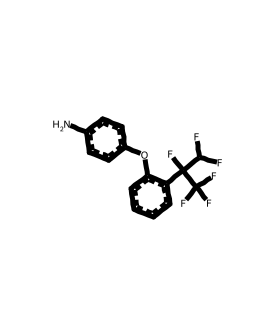 Nc1ccc(Oc2ccccc2C(F)(C(F)F)C(F)(F)F)cc1